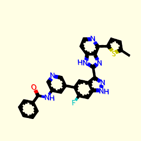 Cc1ccc(-c2nccc3[nH]c(-c4n[nH]c5cc(F)c(-c6cncc(NC(=O)c7ccccc7)c6)cc45)nc23)s1